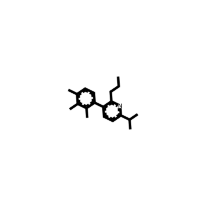 CCCc1nc(C(C)C)ccc1-c1ccc(C)c(C)c1C